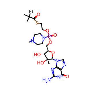 CCC(C)(C)C(=O)SCCOP(=O)(OC[C@H]1O[C@@H](n2cnc3c(=O)[nH]c(N)nc32)[C@](C)(O)[C@@H]1O)N1CCN(C)CC1